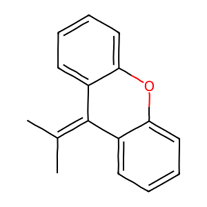 CC(C)=C1c2ccccc2Oc2ccccc21